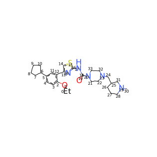 CCOc1ccc(C2CCCC2)cc1-c1csc(NC(=O)N2CCN(CC3CCCN(C)C3)CC2)n1